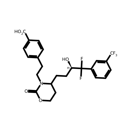 O=C(O)c1ccc(CCN2C(=O)OCCC2CC[C@@H](O)C(F)(F)c2cccc(C(F)(F)F)c2)cc1